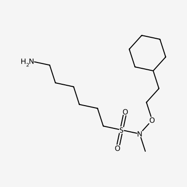 CN(OCCC1CCCCC1)S(=O)(=O)CCCCCCN